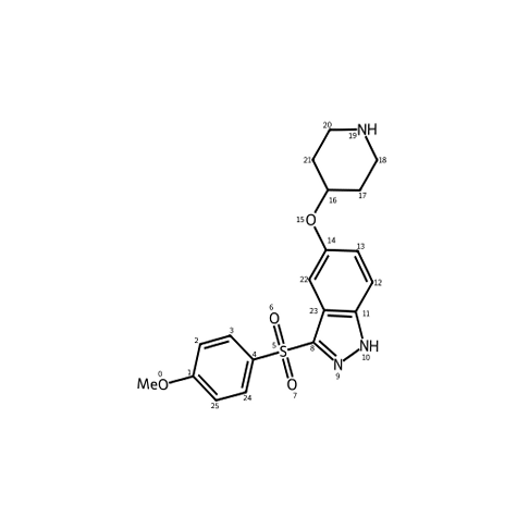 COc1ccc(S(=O)(=O)c2n[nH]c3ccc(OC4CCNCC4)cc23)cc1